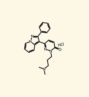 CN(C)CCCn1nc(-c2c(-c3ccccc3)nn3ccccc23)ccc1=O.Cl